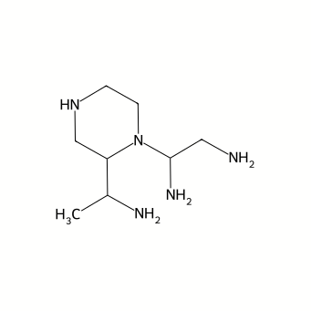 CC(N)C1CNCCN1C(N)CN